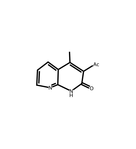 CC(=O)c1c(C)c2cccnc2[nH]c1=O